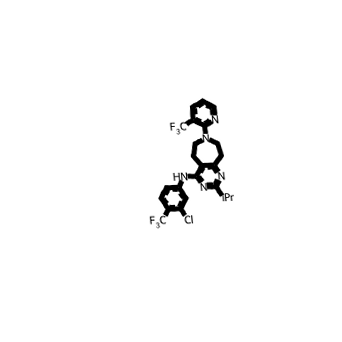 CC(C)c1nc2c(c(Nc3ccc(C(F)(F)F)c(Cl)c3)n1)CCN(c1ncccc1C(F)(F)F)CC2